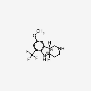 COc1cc2c(c(C(F)(F)F)c1)N[C@H]1CCNC[C@@H]21